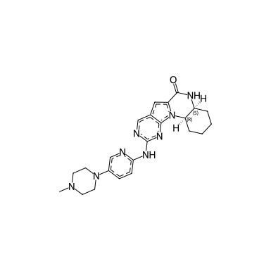 CN1CCN(c2ccc(Nc3ncc4cc5n(c4n3)[C@@H]3CCCC[C@@H]3NC5=O)nc2)CC1